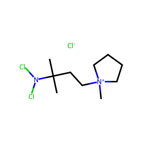 CC(C)(CC[N+]1(C)CCCC1)N(Cl)Cl.[Cl-]